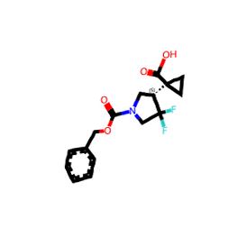 O=C(OCc1ccccc1)N1C[C@H](C2(C(=O)O)CC2)C(F)(F)C1